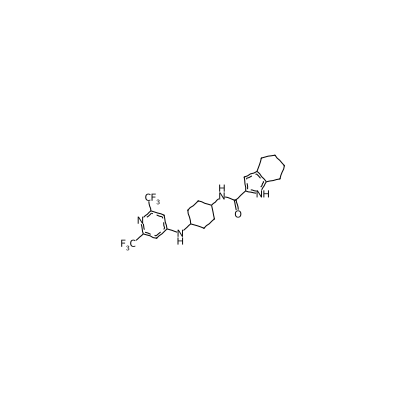 O=C(NC1CCC(Nc2cc(C(F)(F)F)nc(C(F)(F)F)c2)CC1)c1cc2c([nH]1)CCCC2